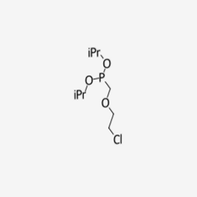 CC(C)OP(COCCCl)OC(C)C